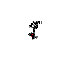 Cc1ncsc1-c1ccc([C@H](C)NC(=O)C2C[C@@H](O)CN2C(=O)C(c2onc(OCCN3CCN(CCOc4cc(N5C6CCC5CN(c5cc(-c7ccccc7O)nnc5N)C6)ccn4)CC3)c2Cl)C(C)C)cc1